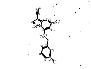 N#Cc1cnn2c(NCc3cccc(Cl)c3)cc(Cl)nc12